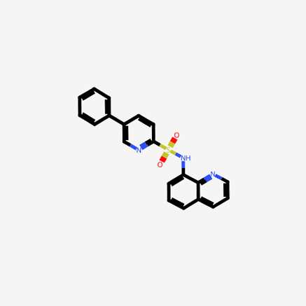 O=S(=O)(Nc1cccc2cccnc12)c1ccc(-c2ccccc2)cn1